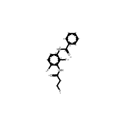 O=C(CCF)Nc1c(F)ccc(NC(=O)c2ccccc2)c1F